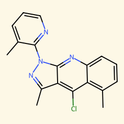 Cc1cccnc1-n1nc(C)c2c(Cl)c3c(C)cccc3nc21